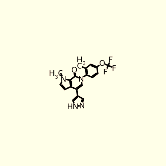 Cc1cc(OC(F)(F)F)ccc1-n1cc(-c2cn[nH]c2)c2ccn(C)c2c1=O